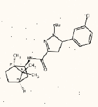 CCCCN1N=C(C(=O)N[C@H]2C[C@H]3CC[C@]2(C)C3(C)C)CC1c1cccc(Cl)c1